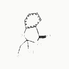 CC(C)CC1(S)NC(=O)c2ccccc2N1